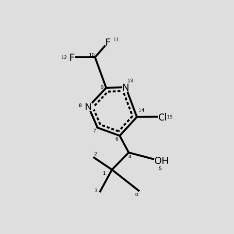 CC(C)(C)C(O)c1cnc(C(F)F)nc1Cl